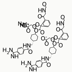 N=C(N)c1ccc(C(=O)NC[C@H]2CC[C@H](OC(=O)C3(OOCC(=O)[O-])c4cccc(C(=O)CNC=O)c43)CC2)cc1.N=C(N)c1ccc(C(=O)NC[C@H]2CC[C@H](OC(=O)C3(OOCC(=O)[O-])c4cccc(C(=O)CNC=O)c43)CC2)cc1.[Na+].[Na+]